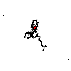 CN(C)CCCOc1nc2c(c(N3CC4CCC(C3)N4C(=O)O)n1)CCNC2